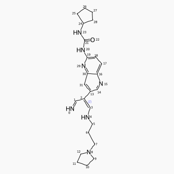 N=C/C(=C\NCCCN1CCCC1)c1cnc2ccc(NC(=O)NC3CCCC3)nc2c1